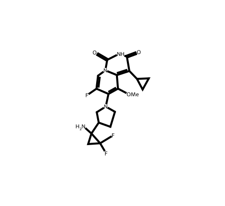 COc1c(N2CCC(C3(N)CC3(F)F)C2)c(F)cn2c(=O)[nH]c(=O)c(C3CC3)c12